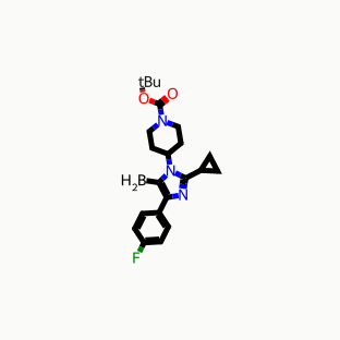 Bc1c(-c2ccc(F)cc2)nc(C2CC2)n1C1CCN(C(=O)OC(C)(C)C)CC1